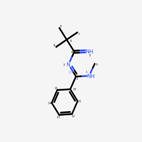 CN/C(=N\C(=N)C(C)(C)C)c1ccccc1